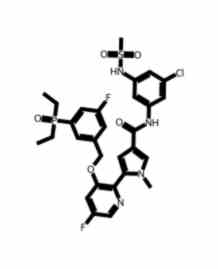 CCP(=O)(CC)c1cc(F)cc(COc2cc(F)cnc2-c2cc(C(=O)Nc3cc(Cl)cc(NS(C)(=O)=O)c3)cn2C)c1